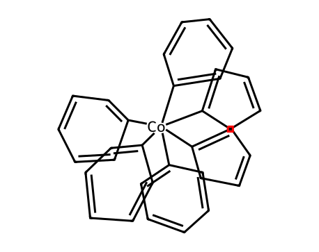 C1=CC[C]([Co]([C]2=CC=CC2)([c]2ccccc2)([c]2ccccc2)([c]2ccccc2)[c]2ccccc2)=C1